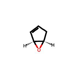 C1=C[C@@H]2O[C@@H]2C1